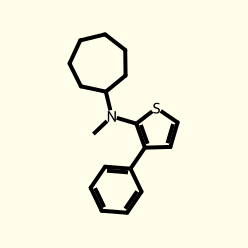 CN(c1sccc1-c1ccccc1)C1CCCCCC1